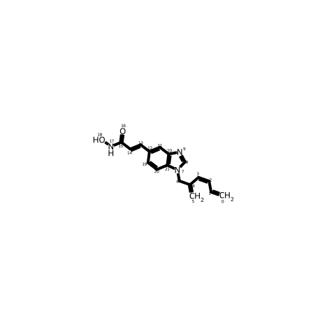 C=C/C=C\C(=C)Cn1cnc2cc(/C=C/C(=O)NO)ccc21